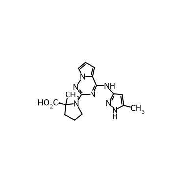 Cc1cc(Nc2nc(N3CCC[C@@]3(C)C(=O)O)nn3cccc23)n[nH]1